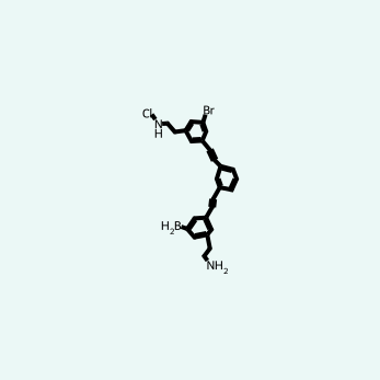 Bc1cc(C#Cc2cccc(C#Cc3cc(Br)cc(CCNCl)c3)c2)cc(CCN)c1